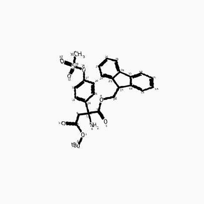 CC(C)(C)OC(=O)CC(N)(C(=O)OCC1c2ccccc2-c2ccccc21)c1ccc(OS(C)(=O)=O)cc1